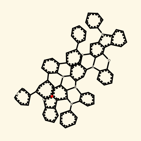 c1ccc(-c2cccc(-c3cccc(-c4cccc(-c5ccccc5)c4)c3N3c4cc5c(cc4B4c6ccccc6N(c6ccccc6)c6c4c3cc3oc4ccccc4c63)B3c4ccccc4Oc4c3c(cc3c4c4ccccc4n3-c3ccccc3)O5)c2)cc1